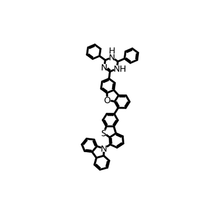 C1=CCC(C2N=C(c3ccc4oc5c(-c6ccc7sc8c(N9c%10ccccc%10C%10C=CC=CC%109)cccc8c7c6)cccc5c4c3)NC(c3ccccc3)N2)C=C1